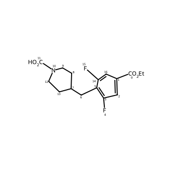 CCOC(=O)c1cc(F)c(CC2CCN(C(=O)O)CC2)c(F)c1